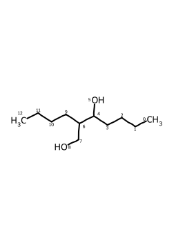 CCCCC(O)C(CO)CCCC